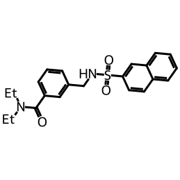 CCN(CC)C(=O)c1cccc(CNS(=O)(=O)c2ccc3ccccc3c2)c1